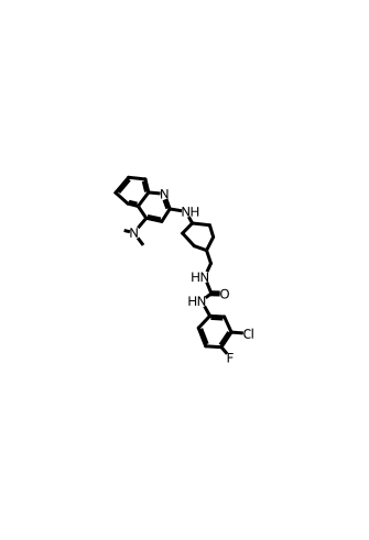 CN(C)c1cc(NC2CCC(CNC(=O)Nc3ccc(F)c(Cl)c3)CC2)nc2ccccc12